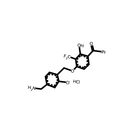 CC(C)C(=O)c1ccc(OCc2ccc(CN)cc2Cl)c(C(F)(F)F)c1O.Cl